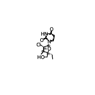 CC[C@@]1(CO)O[C@@H](n2ccc(=O)[nH]c2=O)[C@H](Cl)[C@@H]1C